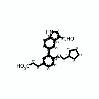 O=Cc1c[nH]c2ccc(-c3cc(CCC(=O)O)ccc3OCC3CCCC3)cc12